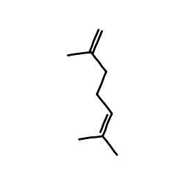 C=C(C)CCC=C(C)C